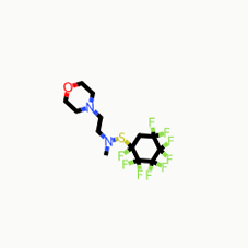 CN(CCN1CCOCC1)SC1(F)CC(F)(F)C(F)(F)C(F)(F)C1(F)F